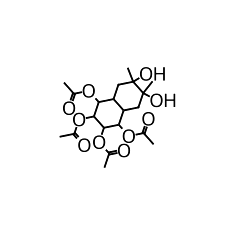 CC(=O)OC1C2CC(C)(O)C(C)(O)CC2C(OC(C)=O)C(OC(C)=O)C1OC(C)=O